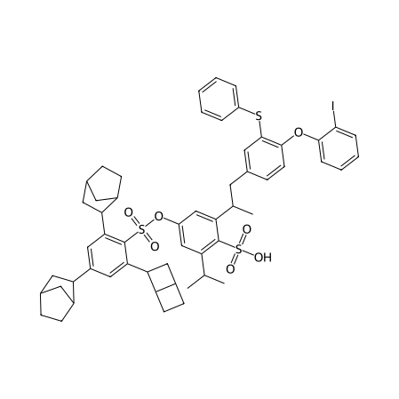 CC(C)c1cc(OS(=O)(=O)c2c(C3CC4CCC3C4)cc(C3CC4CCC3C4)cc2C2CC3CCC32)cc(C(C)Cc2ccc(Oc3ccccc3I)c(Sc3ccccc3)c2)c1S(=O)(=O)O